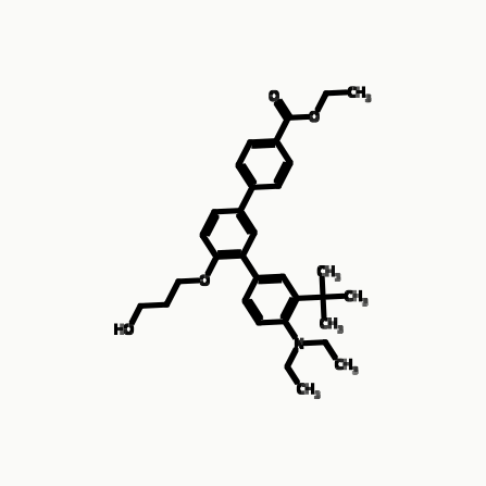 CCOC(=O)c1ccc(-c2ccc(OCCCO)c(-c3ccc(N(CC)CC)c(C(C)(C)C)c3)c2)cc1